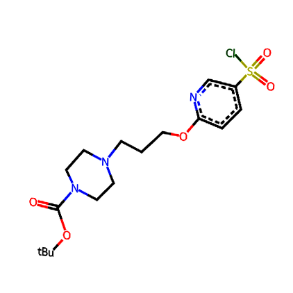 CC(C)(C)OC(=O)N1CCN(CCCOc2ccc(S(=O)(=O)Cl)cn2)CC1